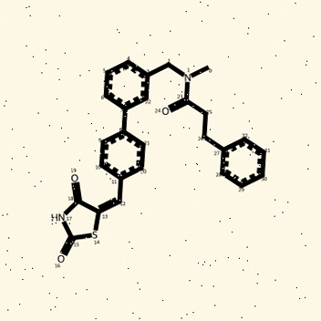 CN(Cc1cccc(-c2ccc(C=C3SC(=O)NC3=O)cc2)c1)C(=O)CCc1ccccc1